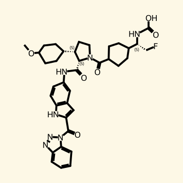 COC1CCC([C@@H]2CCN(C(=O)C3CCC([C@@H](CF)NC(=O)O)CC3)[C@@H]2C(=O)Nc2ccc3[nH]c(C(=O)n4nnc5ccccc54)cc3c2)CC1